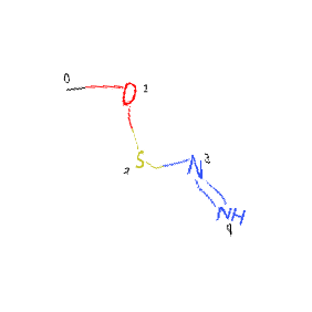 COSN=N